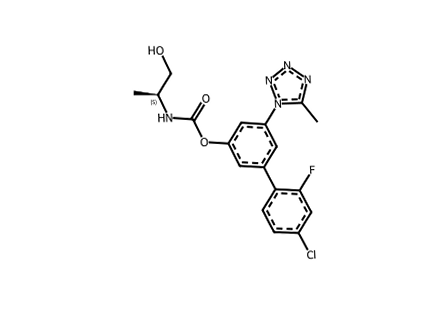 Cc1nnnn1-c1cc(OC(=O)N[C@@H](C)CO)cc(-c2ccc(Cl)cc2F)c1